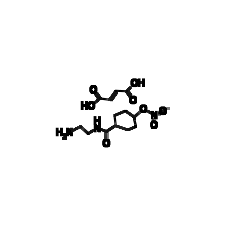 NCCNC(=O)C1CCC(O[N+](=O)[O-])CC1.O=C(O)C=CC(=O)O